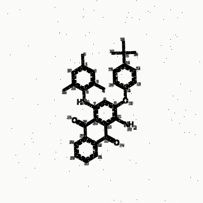 Cc1cc(C)c(Nc2cc(Oc3ccc(C(C)(C)C)cc3)c(N)c3c2C(=O)c2ccccc2C3=O)c(C)c1